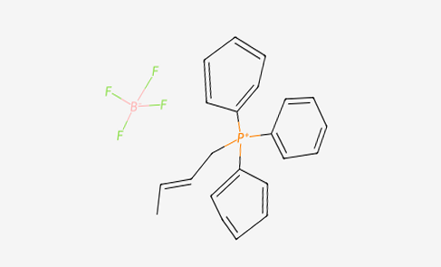 CC=CC[P+](c1ccccc1)(c1ccccc1)c1ccccc1.F[B-](F)(F)F